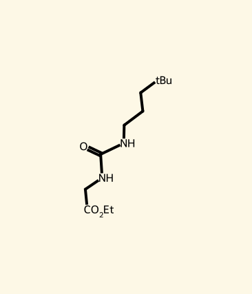 CCOC(=O)CNC(=O)NCCCC(C)(C)C